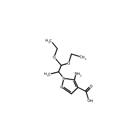 CCOC(OCC)C(C)n1ncc(C(=O)O)c1N